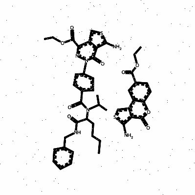 CCCCC(C(=O)NCc1ccccc1)N(C(=O)c1ccc(-n2nc(C(=O)OCC)c3csc(N)c3c2=O)cc1)C(C)C.CCOC(=O)c1ccc2oc(=O)c3c(N)scc3c2c1